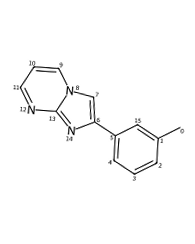 Cc1cccc(-c2cn3cccnc3n2)c1